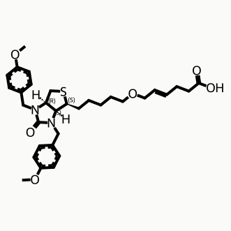 COc1ccc(CN2C(=O)N(Cc3ccc(OC)cc3)[C@H]3CS[C@@H](CCCCCOCC=CCCC(=O)O)[C@H]32)cc1